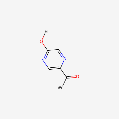 CCOc1cnc(C(=O)C(C)C)cn1